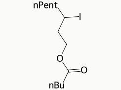 CCCCCC(I)CCOC(=O)CCCC